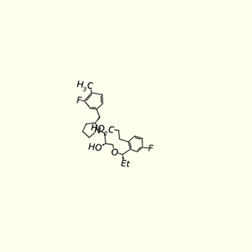 CC[C@@H](OC[C@@H](O)CN1CCC[C@H]1Cc1ccc(C)c(F)c1)c1cc(F)ccc1CCC(=O)O